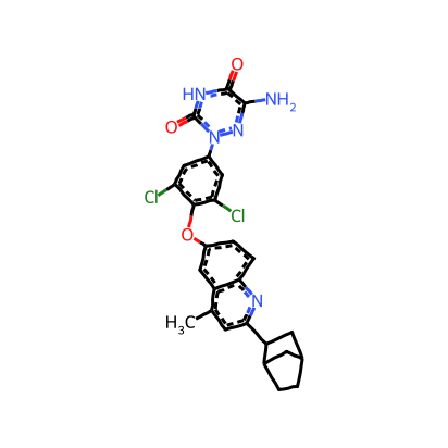 Cc1cc(C2CC3CCC2C3)nc2ccc(Oc3c(Cl)cc(-n4nc(N)c(=O)[nH]c4=O)cc3Cl)cc12